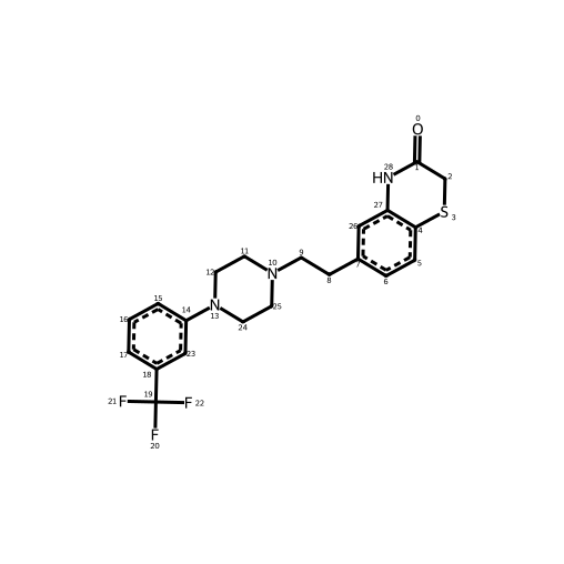 O=C1CSc2ccc(CCN3CCN(c4cccc(C(F)(F)F)c4)CC3)cc2N1